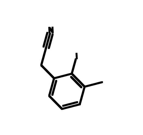 Cc1cccc(CC#N)c1I